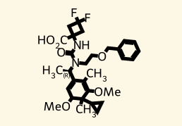 COC1=C(C)C([C@@H](C)N(CCOCc2ccccc2)C(=O)NC2(C(=O)O)CC(F)(F)C2)=CC(OC)C1(C)C1CC1